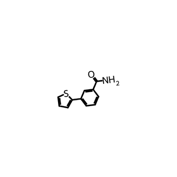 NC(=O)c1cccc(-c2cccs2)c1